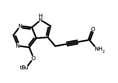 CC(C)(C)Oc1ncnc2[nH]cc(CC#CC(N)=O)c12